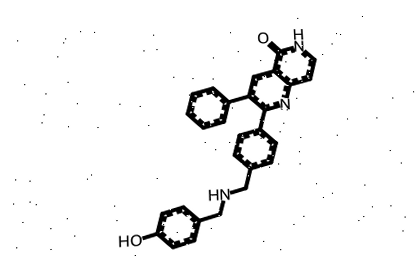 O=c1[nH]ccc2nc(-c3ccc(CNCc4ccc(O)cc4)cc3)c(-c3ccccc3)cc12